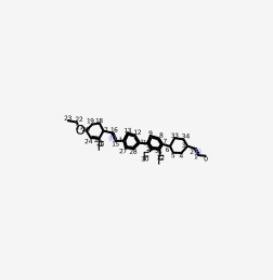 C/C=C/C1CCC(c2ccc(-c3ccc(/C=C/C4CCC(OCC)C=C4F)cc3)c(F)c2F)CC1